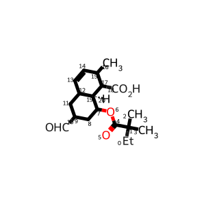 CCC(C)(C)C(=O)OC1CC(C=O)CC2C=CC(C)C(C(=O)O)[C@H]21